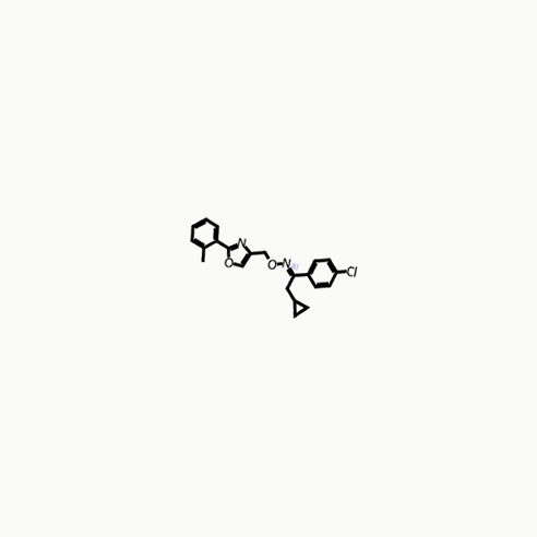 Cc1ccccc1-c1nc(CO/N=C(\CC2CC2)c2ccc(Cl)cc2)co1